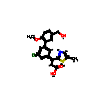 COc1ccc(CO)cc1-c1cc(Cl)cc(C(CC(=O)O)c2ncc(C)s2)c1